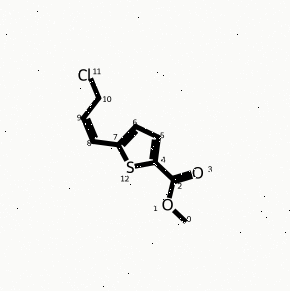 COC(=O)c1ccc(/C=C\CCl)s1